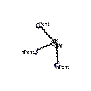 CCCCC/C=C\C/C=C\CCCCCCCCO[C@H]1[C@@H]([C@@H](C[N+](C)(C)C)OCCCCCCCC/C=C\C/C=C\CCCCC)OC[C@@H]1OCCCCCCCC/C=C\C/C=C\CCCCC